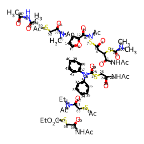 CC(=O)NC(=O)C(CC(=O)SN(C(C)=O)C(=O)c1ccco1)SC(=O)N(C)C.CC(=O)NC(=O)CSC(=O)N(c1ccccc1)c1ccccc1.CC(=O)NC(C)=O.CC(=O)SCC(=O)N(C)C(C)=O.CCN(C(C)=O)C(=O)CSC(C)=O.CCOC(=O)SCC(=O)NC(C)=O